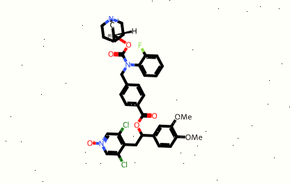 COc1ccc(C(Cc2c(Cl)c[n+]([O-])cc2Cl)OC(=O)c2ccc(CN(C(=O)O[C@H]3CN4CCC3CC4)c3ccccc3F)cc2)cc1OC